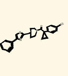 O=C(N1CCC(c2nc(-c3ccccc3)cs2)CC1)C1(c2ccc(Cl)cc2)CC1